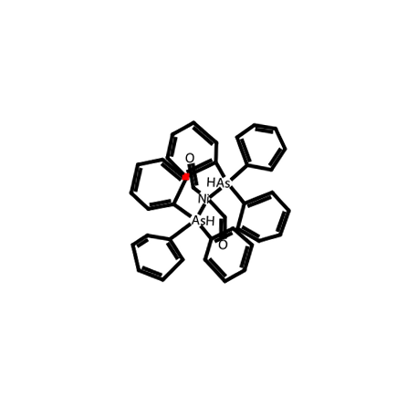 O=[CH][Ni]([CH]=O)([AsH](c1ccccc1)(c1ccccc1)c1ccccc1)[AsH](c1ccccc1)(c1ccccc1)c1ccccc1